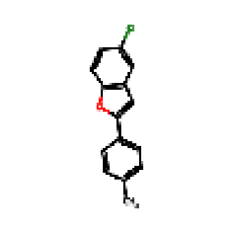 Cc1ccc(-c2cc3cc(Cl)ccc3o2)cc1